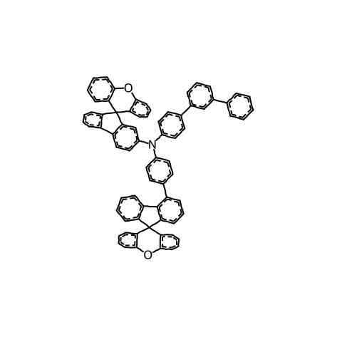 c1ccc(-c2cccc(-c3ccc(N(c4ccc(-c5cccc6c5-c5ccccc5C65c6ccccc6Oc6ccccc65)cc4)c4ccc5c(c4)C4(c6ccccc6Oc6ccccc64)c4ccccc4-5)cc3)c2)cc1